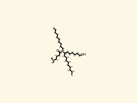 CCCCCCCCCCN(C(=O)CCCN(C)C)C(CCCCCCO)CCCCCCCCC